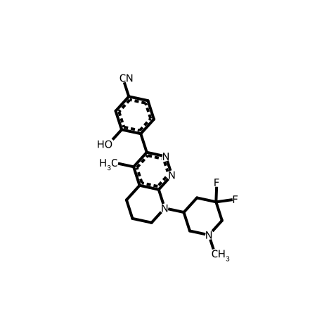 Cc1c(-c2ccc(C#N)cc2O)nnc2c1CCCN2C1CN(C)CC(F)(F)C1